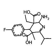 CCC1(C(=O)O)C(N)N=C(C(C)C)C(C)(C(=O)O)C1c1ccc(F)cc1